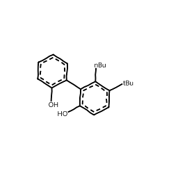 CCCCc1c(C(C)(C)C)ccc(O)c1-c1ccccc1O